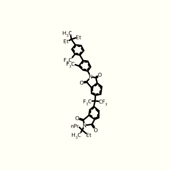 CCCC(C)(CC)N1C(=O)c2ccc(C(c3ccc4c(c3)C(=O)N(c3ccc(-c5ccc(C(C)(CC)CC)cc5C(F)(F)F)c(C(F)(F)F)c3)C4=O)(C(F)(F)F)C(F)(F)F)cc2C1=O